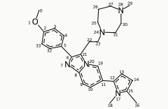 COc1ccc(-c2nc3ccc(-c4ccc(C)n4C)cn3c2CCN2CCCN(C)CC2)cc1